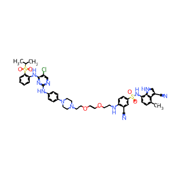 Cc1ccc(NS(=O)(=O)c2ccc(NCCOCCOCCN3CCN(c4ccc(Nc5ncc(Cl)c(Nc6ccccc6S(=O)(=O)C(C)C)n5)cc4)CC3)c(C#N)c2)c2[nH]cc(C#N)c12